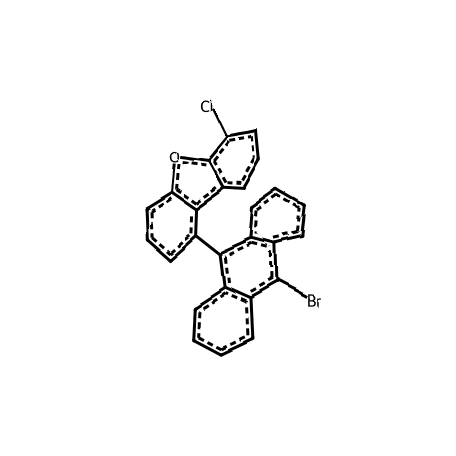 Clc1cccc2c1oc1cccc(-c3c4ccccc4c(Br)c4ccccc34)c12